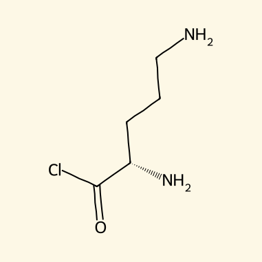 NCCC[C@H](N)C(=O)Cl